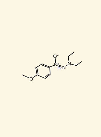 CCN(CC)/N=[N+](\[O-])c1ccc(OC)cc1